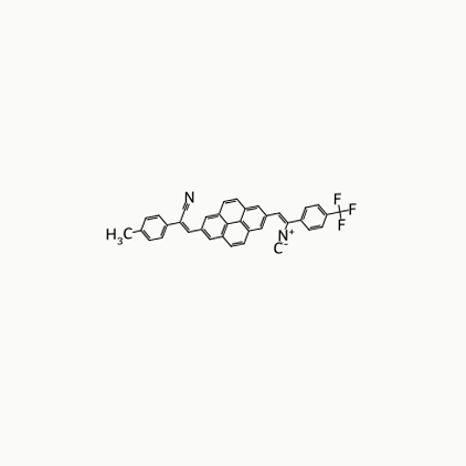 [C-]#[N+]/C(=C\c1cc2ccc3cc(/C=C(\C#N)c4ccc(C)cc4)cc4ccc(c1)c2c34)c1ccc(C(F)(F)F)cc1